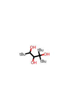 CC(C)(C)C(O)C(O)C(O)(C(C)(C)C)C(C)(C)C